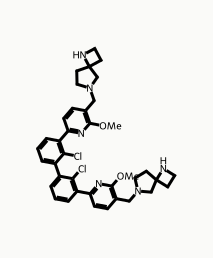 COc1nc(-c2cccc(-c3cccc(-c4ccc(CN5CCC6(CCN6)C5)c(OC)n4)c3Cl)c2Cl)ccc1CN1CCC2(CCN2)C1